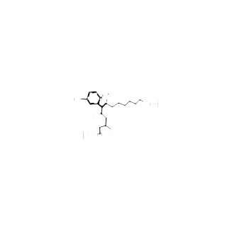 CC(CC(=O)O)CC(=O)c1c(CCCCCCO)n(C)c2ccc(Cl)cc12